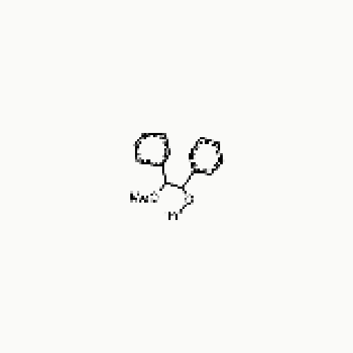 CCCOC(c1ccccc1)C(OC)c1ccccc1